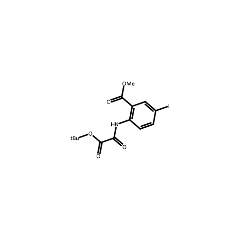 COC(=O)c1cc(I)ccc1NC(=O)C(=O)OC(C)(C)C